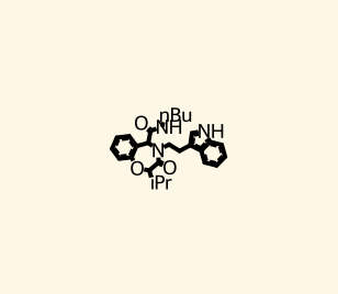 CCCCNC(=O)C1c2ccccc2OC(C(C)C)C(=O)N1CCc1c[nH]c2ccccc12